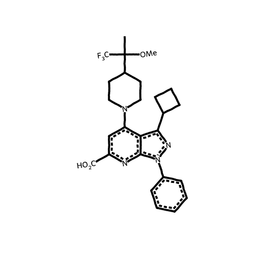 COC(C)(C1CCN(c2cc(C(=O)O)nc3c2c(C2CCC2)nn3-c2ccccc2)CC1)C(F)(F)F